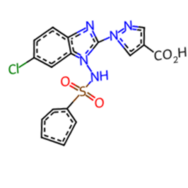 O=C(O)c1cnn(-c2nc3ccc(Cl)cc3n2NS(=O)(=O)c2ccccc2)c1